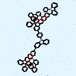 c1ccc(-c2ccccc2-c2c(-c3ccccc3)cccc2N(c2ccc(-c3ccc4c(c3)c3ccccc3n4-c3ccc(-c4ccc5c(c4)-c4ccc(N(c6ccc(-c7cccc8c9ccccc9n(-c9ccccc9)c78)cc6)c6cccc(-c7ccccc7)c6-c6ccccc6-c6ccccc6)cc4C5(c4ccccc4)c4ccccc4)cc3)cc2)c2ccc3c(c2)C(c2ccccc2)(c2ccccc2)c2ccccc2-3)cc1